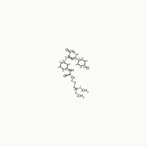 CCN(CC)CCCOC(=O)Nc1cccc(CN2N=C(c3ccc(Cl)cc3)CSC2=O)c1